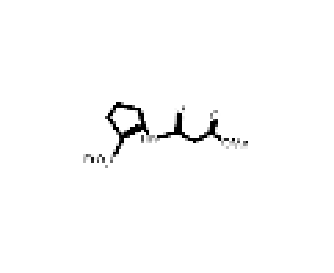 CCOC(=O)C1=C(NC(=O)CC(=O)OC)CCC1